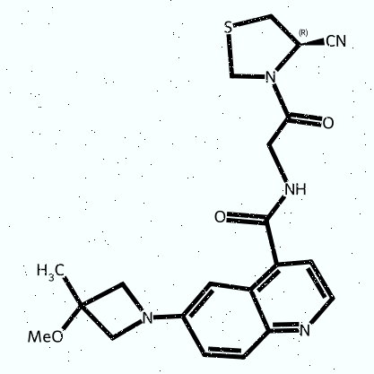 COC1(C)CN(c2ccc3nccc(C(=O)NCC(=O)N4CSC[C@H]4C#N)c3c2)C1